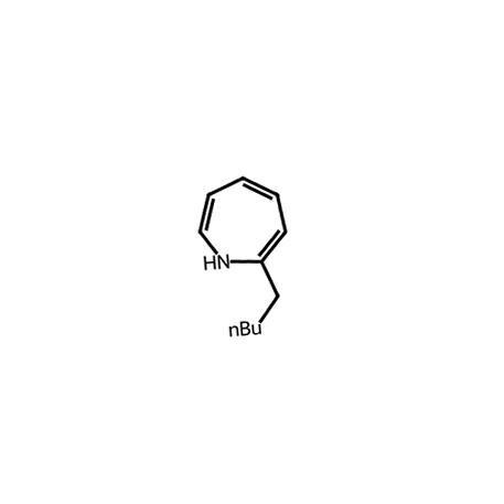 CCCCCC1=CC=CC=CN1